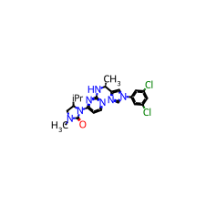 CC(C)C1CN(C)C(=O)N1c1ccnc(N[C@@H](C)c2cn(-c3cc(Cl)cc(Cl)c3)cn2)n1